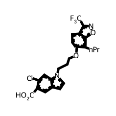 CCCc1c(OCCCn2ccc3cc(C(=O)O)c(Cl)cc32)ccc2c(C(F)(F)F)noc12